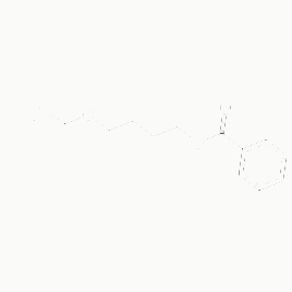 O=C(O)COCCCCOC(=O)c1ccccc1